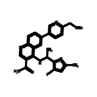 COCc1ccc(-c2ccc3ncc(C(N)=O)c(NC(C)c4nn(C)cc4F)c3c2)cn1